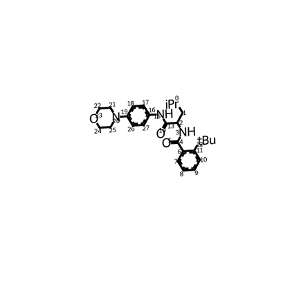 CC(C)CC(NC(=O)c1ccccc1C(C)(C)C)C(=O)Nc1ccc(N2CCOCC2)cc1